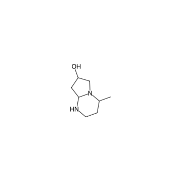 CC1CCNC2CC(O)CN12